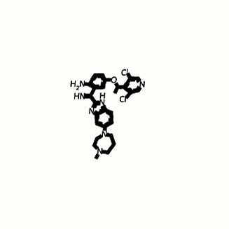 CC(Oc1ccc(N)c(C(=N)c2nc3cc(N4CCCN(C)CC4)ccc3[nH]2)c1)c1c(Cl)cncc1Cl